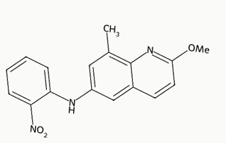 COc1ccc2cc(Nc3ccccc3[N+](=O)[O-])cc(C)c2n1